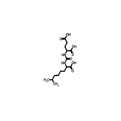 CC(C)CCCCC(NC(=O)NC(CCC(=O)O)C(=O)O)C(=O)O